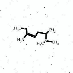 CC/C(N)=C\CC(C)N(C)C